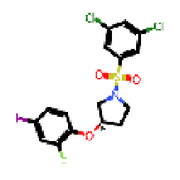 O=S(=O)(c1cc(Cl)cc(Cl)c1)N1CC[C@@H](Oc2ccc(I)cc2F)C1